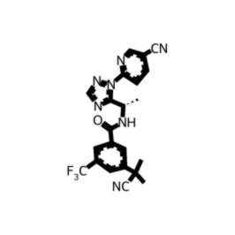 C[C@H](NC(=O)c1cc(C(F)(F)F)cc(C(C)(C)C#N)c1)c1ncnn1-c1ccc(C#N)cn1